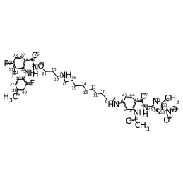 CC(=O)Nc1cc(NCCCCCCCCCCNCCCONC(=O)c2ccc(F)c(F)c2Nc2ccc(C)cc2F)ccc1C(=O)Nc1nc(C)c([N+](=O)[O-])s1